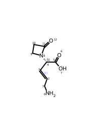 NC/C=C/[C@@H](C(=O)O)N1CCC1=O